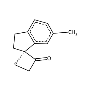 Cc1ccc2c(c1)[C@]1(CCC1=O)CC2